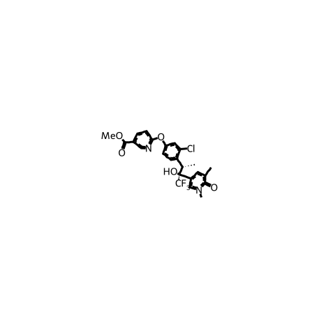 COC(=O)c1ccc(Oc2ccc([C@H](C)[C@](O)(c3cc(C)c(=O)n(C)c3)C(F)(F)F)c(Cl)c2)nc1